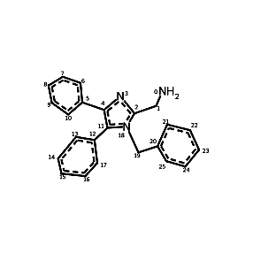 NCc1nc(-c2ccccc2)c(-c2ccccc2)n1Cc1ccccc1